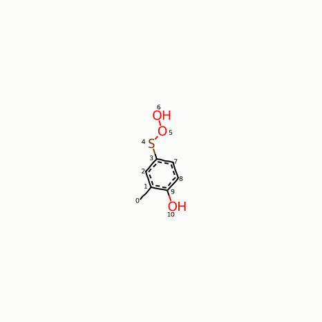 Cc1cc(SOO)ccc1O